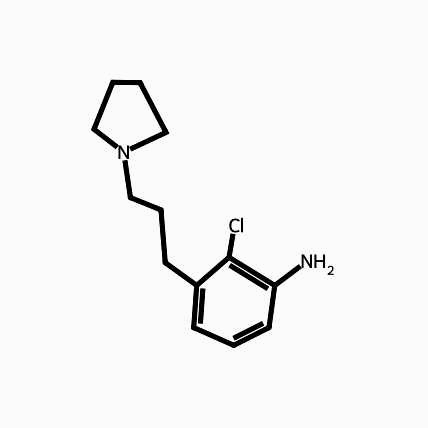 Nc1cccc(CCCN2CCCC2)c1Cl